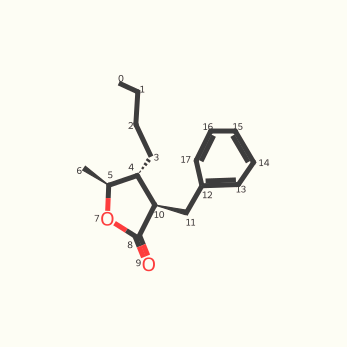 CCCC[C@H]1[C@H](C)OC(=O)[C@@H]1Cc1ccccc1